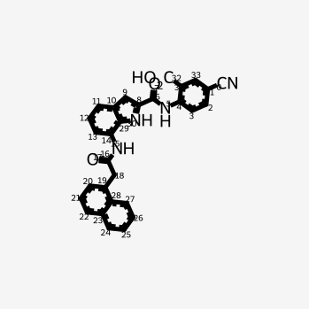 N#Cc1ccc(NC(=O)c2cc3cccc(NC(=O)Cc4cccc5ccccc45)c3[nH]2)c(C(=O)O)c1